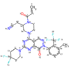 C=CC(=O)N1CCN(c2nc(N3CCC(F)(F)CC3)nc3c(=O)n(-c4cccc(C)c4C(F)(F)F)ncc23)CC1CC#N